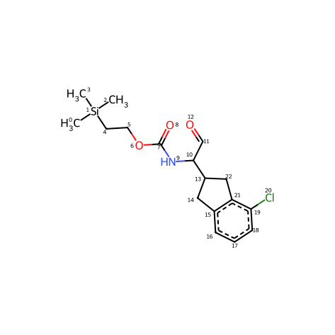 C[Si](C)(C)CCOC(=O)NC(C=O)C1Cc2cccc(Cl)c2C1